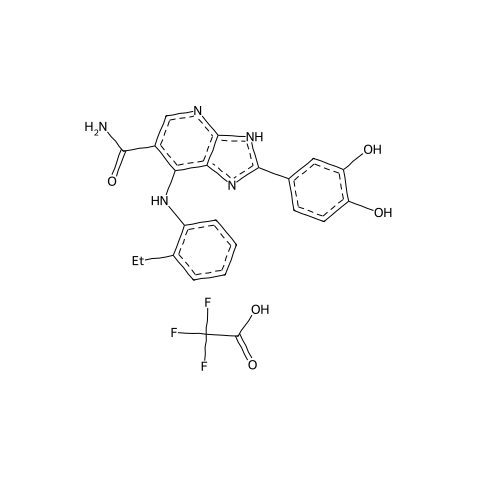 CCc1ccccc1Nc1c(C(N)=O)cnc2[nH]c(-c3ccc(O)c(O)c3)nc12.O=C(O)C(F)(F)F